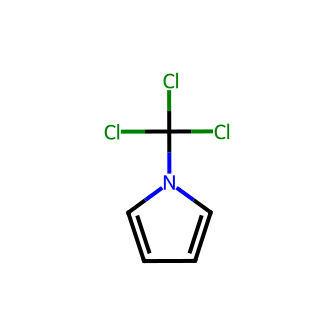 ClC(Cl)(Cl)n1cccc1